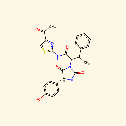 COC(=O)c1csc(NC(=O)C(C(C)c2ccccc2)N2C(=O)N[C@H](c3ccc(O)cc3)C2=O)n1